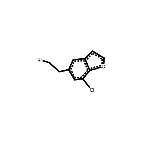 Clc1cc(CCBr)cc2ccoc12